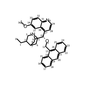 CCC1CN2CCC1CC2[C@@H](OCc1c2ccccc2cc2ccccc12)c1ccnc2ccc(OI)cc12